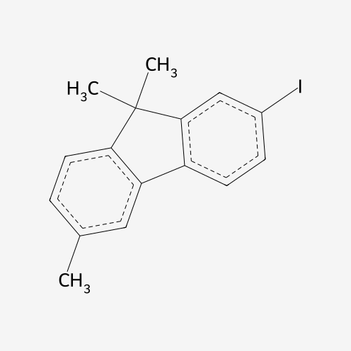 Cc1ccc2c(c1)-c1ccc(I)cc1C2(C)C